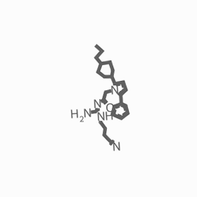 CCCC1CCC(c2ccc(-c3ccccc3)n2CC(=O)N=C(N)NCCCC#N)CC1